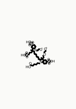 COCCOCCC1(C)\C(=C/C=C/C=C/C2=[N+](CCOC)c3ccc(S(=O)(=O)O)cc3C2(C)CCCS(=O)(=O)O)N(CCCCCC(=O)O)c2ccc(S(=O)(=O)O)cc21